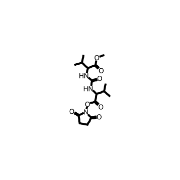 COC(=O)C(NC(=O)NC(C(=O)ON1C(=O)CCC1=O)C(C)C)C(C)C